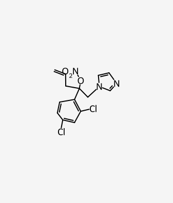 C=CCC(Cn1ccnc1)(O[N+](=O)[O-])c1ccc(Cl)cc1Cl